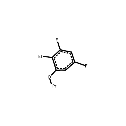 CCc1c(F)cc(F)cc1OC(C)C